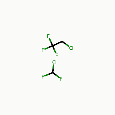 FC(F)(F)CCl.FC(F)Cl